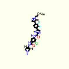 COCCn1ncc(-c2ccc(-c3cnc(C(=O)Nc4ccc(C(=O)NC5[C@H]6CNC[C@@H]56)c(Cl)c4)n3C)c(F)c2F)c1C